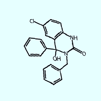 O=C1Nc2ccc(Cl)cc2C(O)(c2ccccc2)N1Cc1ccccc1